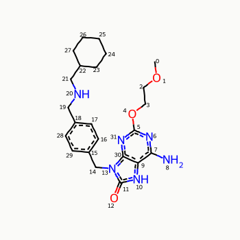 COCCOc1nc(N)c2[nH]c(=O)n(Cc3ccc(CNCC4CCCCC4)cc3)c2n1